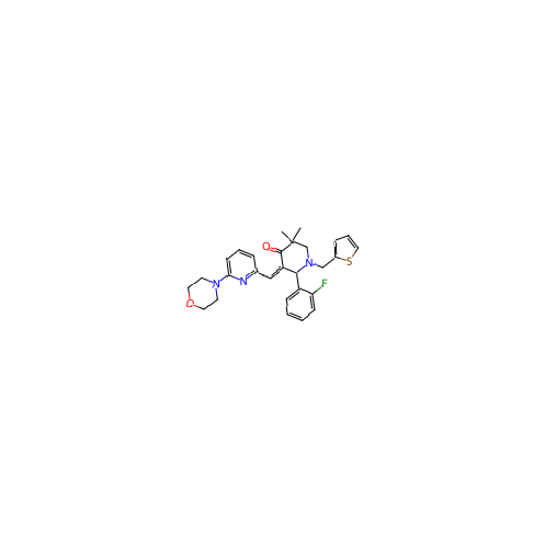 CC1(C)CN(Cc2cccs2)C(c2ccccc2F)/C(=C/c2cccc(N3CCOCC3)n2)C1=O